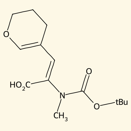 CN(C(=O)OC(C)(C)C)/C(=C/C1=COCCC1)C(=O)O